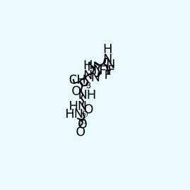 CCc1cc(Nc2nccn3c(-c4c[nH]nc4C(F)(F)F)cnc23)ccc1C(=O)NCCNC(=O)[C@@H]1C[C@@H](OC=O)CN1